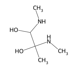 CNC(O)C(C)(O)NC